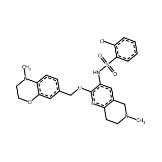 CN1CCc2nc(OCc3ccc4c(c3)OCCN4C)c(NS(=O)(=O)c3ccccc3Cl)cc2C1